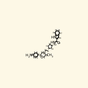 C[C@H]1CO[C@@H](c2ccc(N)nc2)CN1CC[C@@H]1CC[C@H](CNC(=O)c2cc3ccccc3[nH]2)C1